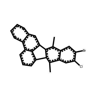 Cc1c2c(c(C)c3cc(Br)c(Cl)cc13)-c1cc3ccccc3c3cccc-2c13